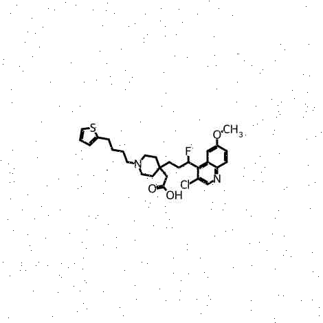 COc1ccc2ncc(Cl)c(C(F)CCC3(CC(=O)O)CCN(CCCCc4cccs4)CC3)c2c1